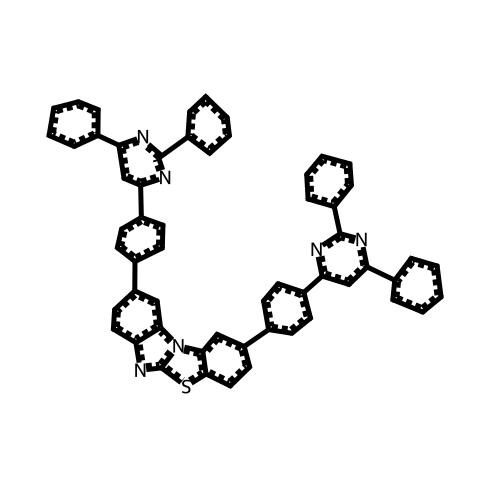 c1ccc(-c2cc(-c3ccc(-c4ccc5nc6sc7ccc(-c8ccc(-c9cc(-c%10ccccc%10)nc(-c%10ccccc%10)n9)cc8)cc7n6c5c4)cc3)nc(-c3ccccc3)n2)cc1